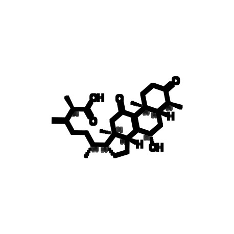 C=C(CC[C@@H](C)[C@H]1CC[C@H]2C3=C(C(=O)C[C@]12C)[C@@]1(C)CCC(=O)[C@@H](C)[C@@H]1C[C@@H]3O)[C@@H](C)C(=O)O